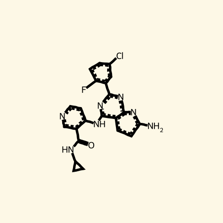 Nc1ccc2c(Nc3ccncc3C(=O)NC3CC3)nc(-c3cc(Cl)ccc3F)nc2n1